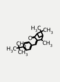 CC1C(=Cc2ccc(C(C)(C)C)cc2)C(=O)C2CC1C2(C)C